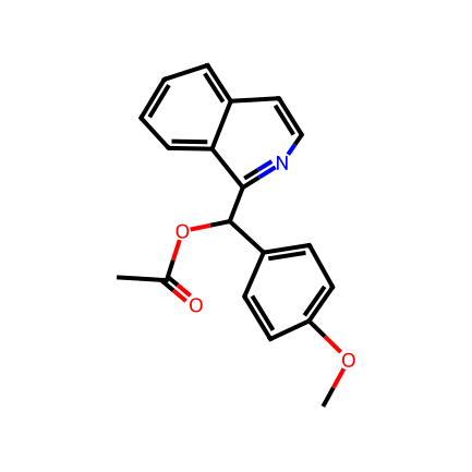 COc1ccc(C(OC(C)=O)c2nccc3ccccc23)cc1